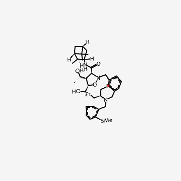 CSc1ccccc1CN(Cc1cccc(CN2O[C@@H](CO)[C@@H]([C@H](C)O)[C@H]2C(=O)N[C@H]2C[C@H]3C[C@@H]([C@@H]2C)C3(C)C)c1)[C@@H](CC(C)C)CN(C)C